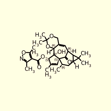 CC1=C[C@]23C(=O)[C@@H](C=C4COC(C)(C)O[C@H]4[C@]2(O)[C@H]1OC(=O)c1c(C)noc1C)C1[C@@H](C[C@H]3C)C1(C)C